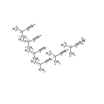 CC(C)C#N.CC(C)C#N.CC(C)C#N.CC(C)C#N.CC(C)C#N.CC(C)C#N.[W]